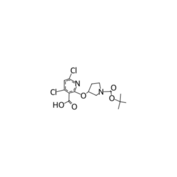 CC(C)(C)OC(=O)N1CCC(Oc2nc(Cl)cc(Cl)c2C(=O)O)C1